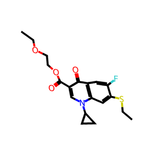 CCOCCOC(=O)c1cn(C2CC2)c2cc(SCC)c(F)cc2c1=O